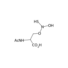 CC(=O)NC(CON(O)S)C(=O)O